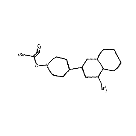 CC(C)(C)C(=O)ON1CCC(C2CC(N)C3CCCCC3C2)CC1